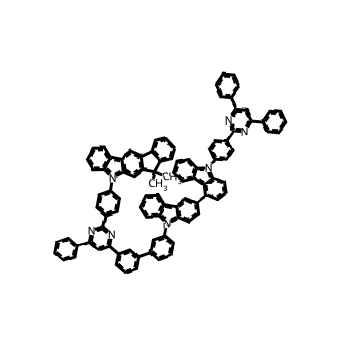 CC1(C)c2ccccc2-c2cc3c4ccccc4n(-c4ccc(-c5nc(-c6ccccc6)cc(-c6cccc(-c7cccc(-n8c9ccccc9c9cc(-c%10cccc%11c%10c%10ccccc%10n%11-c%10ccc(-c%11nc(-c%12ccccc%12)cc(-c%12ccccc%12)n%11)cc%10)ccc98)c7)c6)n5)cc4)c3cc21